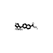 NC(=O)c1ccc2cc(-c3[nH][nH]c4cncc3-4)ccc2c1